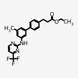 CCOC(=O)CCc1ccc(-c2cc(C)cc(Nc3nccc(C(F)(F)F)n3)c2)cc1